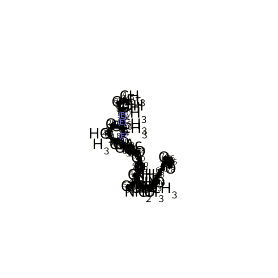 CC[C@H](O)[C@@H](C)[C@H]1O[C@@H]1C[C@@](C)(O)/C=C/C=C(\C)[C@H]1OC(=O)C[C@H](O)CC[C@@](C)(OC(C)=O)[C@@H](OC(=O)N2CCN(C(=O)OCc3ccc(NC(=O)[C@H](CCC(N)=O)NC(=O)[C@H](C)NC(=O)[C@H](C)NC(=O)CCCCCN4C(=O)C=CC4=O)cc3)CC2)/C=C/[C@@H]1C